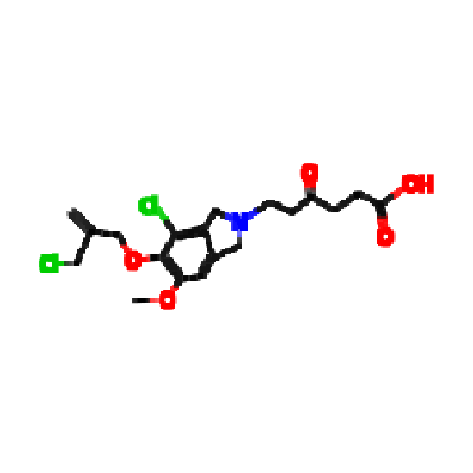 C=C(CCl)COc1c(OC)cc2c(c1Cl)CN(CCC(=O)CCC(=O)O)C2